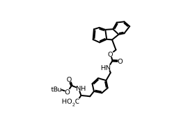 CC(C)(C)OC(=O)NC(Cc1ccc(CNC(=O)OCC2c3ccccc3-c3ccccc32)cc1)C(=O)O